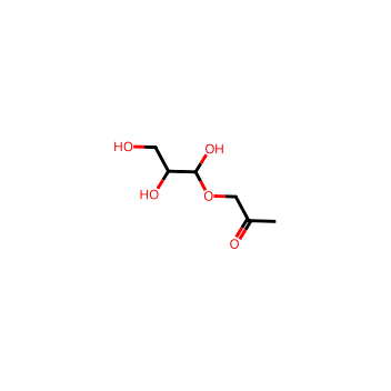 CC(=O)COC(O)C(O)CO